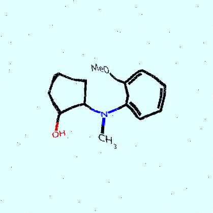 COc1ccccc1N(C)C1CCCC1O